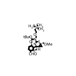 COC[C@]12C[C@H]1[C@@](CF)(c1cc(C=O)ccc1F)N=C(N(COCC[Si](C)(C)C)C(=O)OC(C)(C)C)S2